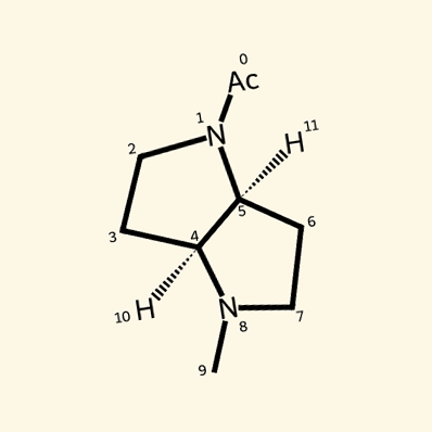 CC(=O)N1CC[C@H]2[C@@H]1CCN2C